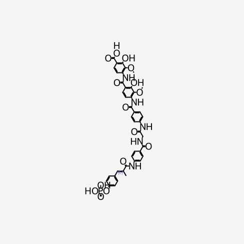 COc1c(NC(=O)c2ccc(NC(=O)c3ccc(NC(=O)CNC(=O)c4ccc(NC(=O)/C(C)=C/c5ccc(OP(=O)(O)O)cc5)cc4)cc3)c(OC)c2O)ccc(C(=O)O)c1O